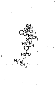 CN(C)CCONC(=O)c1ccc(Nc2ncc(C(F)(F)F)c(N[C@@H]3Cc4ccccc4[C@H]3N(C)S(C)(=O)=O)n2)c(O)c1